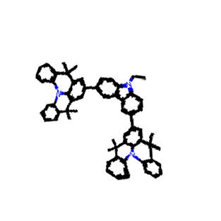 CCn1c2ccc(-c3cc4c5c(c3)C(C)(C)c3ccccc3N5c3ccccc3C4(C)C)cc2c2cc(-c3cc4c5c(c3)C(C)(C)c3ccccc3N5c3ccccc3C4(C)C)ccc21